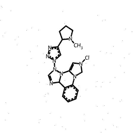 CN1CCCC1c1cn(N2C=NC3c4ccccc4N4CN(Cl)C=C4N32)nn1